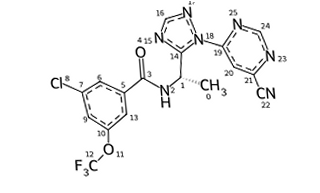 C[C@H](NC(=O)c1cc(Cl)cc(OC(F)(F)F)c1)c1ncnn1-c1cc(C#N)ncn1